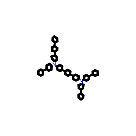 c1ccc(-c2ccc(-c3ccc(N(c4ccc(-c5ccccc5)cc4)c4ccc(-c5ccc(-c6ccc(N(c7ccc(-c8ccccc8)cc7)c7ccc(-c8ccccc8)cc7)cc6)cc5)cc4)cc3)cc2)cc1